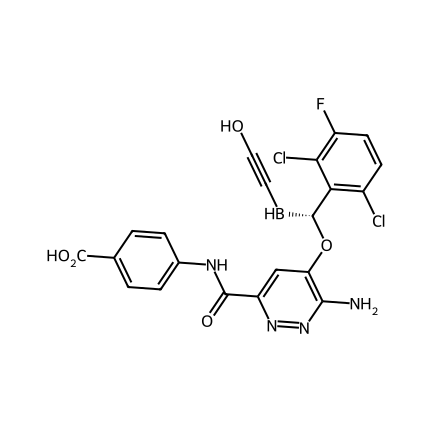 Nc1nnc(C(=O)Nc2ccc(C(=O)O)cc2)cc1O[C@H](BC#CO)c1c(Cl)ccc(F)c1Cl